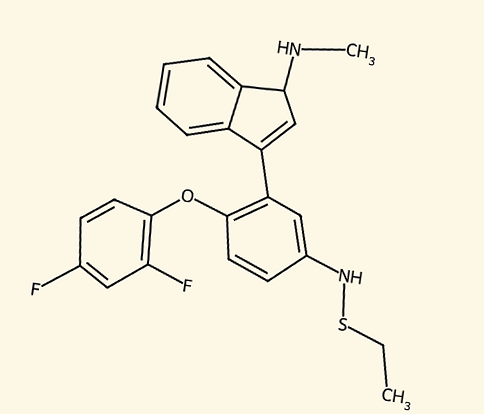 CCSNc1ccc(Oc2ccc(F)cc2F)c(C2=CC(NC)c3ccccc32)c1